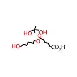 CC(C)(CO)CO.O=C(O)CCCCC(=O)OCCCCCCO